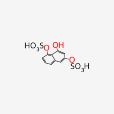 O=S(=O)(O)Oc1cc(O)c2c(OS(=O)(=O)O)cccc2c1